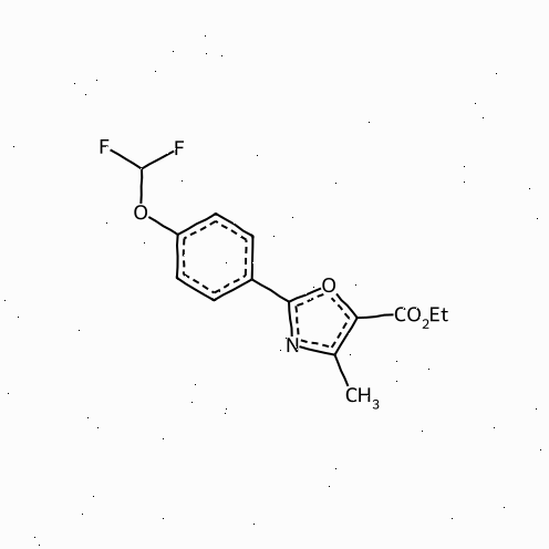 CCOC(=O)c1oc(-c2ccc(OC(F)F)cc2)nc1C